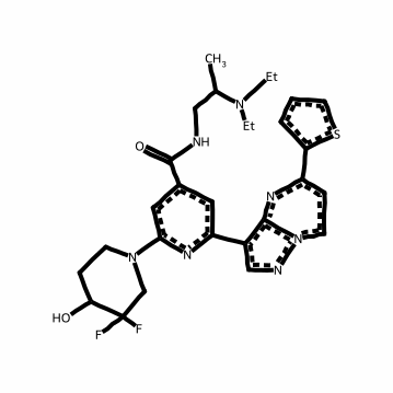 CCN(CC)C(C)CNC(=O)c1cc(-c2cnn3ccc(-c4cccs4)nc23)nc(N2CCC(O)C(F)(F)C2)c1